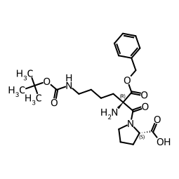 CC(C)(C)OC(=O)NCCCC[C@](N)(C(=O)OCc1ccccc1)C(=O)N1CCC[C@H]1C(=O)O